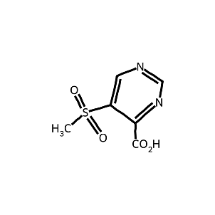 CS(=O)(=O)c1cncnc1C(=O)O